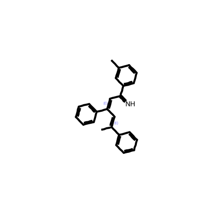 C/C(=C\C(=C/C(=N)c1cccc(C)c1)c1ccccc1)c1ccccc1